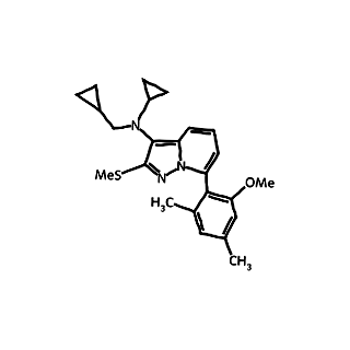 COc1cc(C)cc(C)c1-c1cccc2c(N(CC3CC3)C3CC3)c(SC)nn12